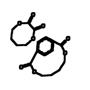 O=C1OCCCCOC(=O)c2ccc1cc2.O=C1OCCCCOC1=O